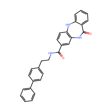 O=C(NCCc1ccc(-c2ccccc2)cc1)c1ccc2c(c1)NC(=O)c1ccccc1N2